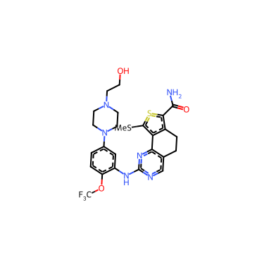 CSc1sc(C(N)=O)c2c1-c1nc(Nc3cc(N4CCN(CCO)CC4)ccc3OC(F)(F)F)ncc1CC2